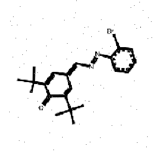 CC(C)(C)C1=CC(=CN=Nc2ccccc2Br)C=C(C(C)(C)C)C1=O